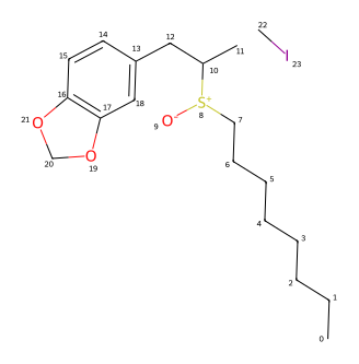 CCCCCCCC[S+]([O-])C(C)Cc1ccc2c(c1)OCO2.CI